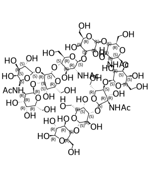 CC(=O)N[C@H]1[C@H](O[C@H]2[C@@H](O)[C@@H](CO)O[C@@H](O[C@H]3[C@H](O)[C@@H](O)[C@H](O)O[C@@H]3CO)[C@@H]2O)O[C@H](CO)[C@@H](O[C@@H]2O[C@H](CO)[C@H](O)[C@H](O[C@@H]3O[C@H](CO)[C@@H](O[C@@H]4O[C@H](CO)[C@H](O)[C@H](O[C@@H]5O[C@H](CO)[C@@H](O[C@@H]6O[C@H](CO)[C@H](O)[C@H](O[C@H]7O[C@H](CO)[C@H](O)[C@H](O)[C@H]7NC(C)=O)[C@H]6O[C@@H]6O[C@@H](C)[C@@H](O)[C@@H](O)[C@@H]6O)[C@H](O)[C@H]5NC(C)=O)[C@H]4O)[C@H](O)[C@H]3NC(C)=O)[C@H]2O)[C@@H]1O